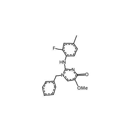 COc1cn(Cc2ccccc2)c(Nc2ccc(C)cc2F)nc1=O